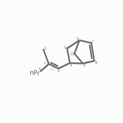 CCC/C(C)=C/C1CC2C=CC1C2